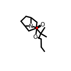 CCCOC(=O)N1C2CCC1CC(C(C)(C)C)C2